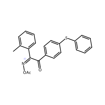 CC(=O)O/N=C(\C(=O)c1ccc(Sc2ccccc2)cc1)c1ccccc1C